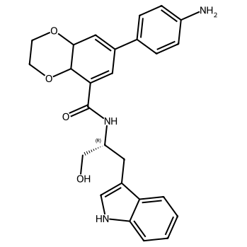 Nc1ccc(C2=CC3OCCOC3C(C(=O)N[C@@H](CO)Cc3c[nH]c4ccccc34)=C2)cc1